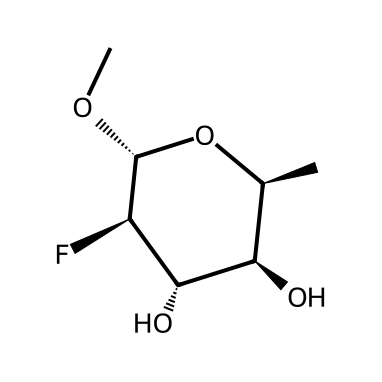 CO[C@@H]1O[C@@H](C)[C@@H](O)[C@H](O)[C@H]1F